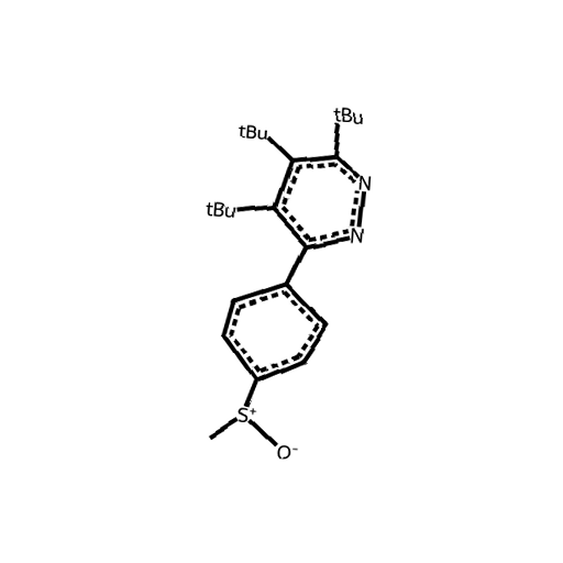 C[S+]([O-])c1ccc(-c2nnc(C(C)(C)C)c(C(C)(C)C)c2C(C)(C)C)cc1